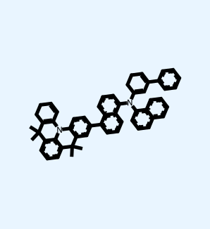 CC1(C)C2=C(C=CCC2)N2c3ccc(-c4cccc5c(N(C6=CC(c7ccccc7)=CCC6)c6cccc7ccccc67)cccc45)cc3C(C)(C)c3cccc1c32